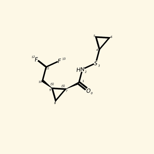 O=C(NSC1CC1)[C@H]1C[C@H]1CC(F)F